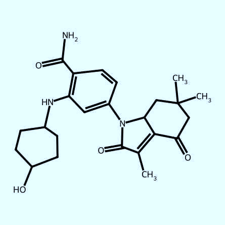 CC1=C2C(=O)CC(C)(C)CC2N(c2ccc(C(N)=O)c(NC3CCC(O)CC3)c2)C1=O